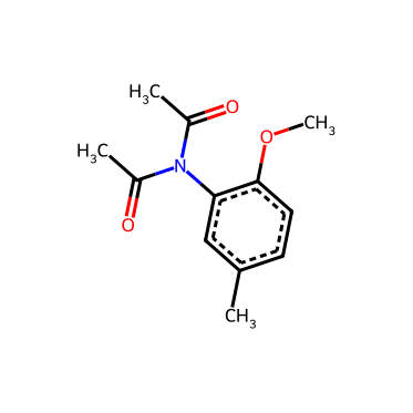 COc1ccc(C)cc1N(C(C)=O)C(C)=O